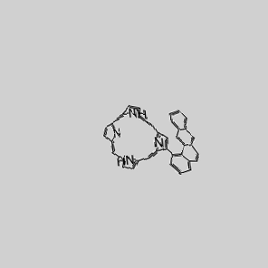 C1=Cc2cc3ccc(cc4nc(cc5ccc(cc1n2)[nH]5)C=C4c1cccc2ccc4cc5ccccc5cc4c12)[nH]3